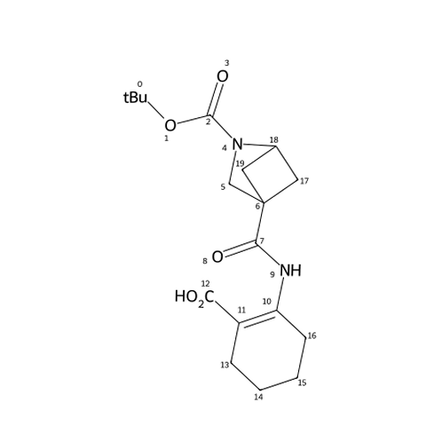 CC(C)(C)OC(=O)N1CC2(C(=O)NC3=C(C(=O)O)CCCC3)CC1C2